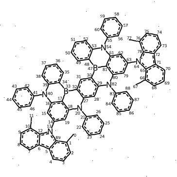 Cc1cccc2c3cccc(C)c3n(-c3cc4c5c(c3)N(c3ccccc3)c3cc6c(cc3B5c3ccccc3N4c3ccccc3)B3c4ccccc4N(c4ccccc4)c4cc(-n5c7c(C)cccc7c7cccc(C)c75)cc(c43)N6c3ccccc3)c12